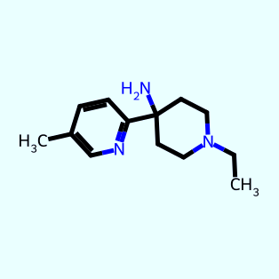 CCN1CCC(N)(c2ccc(C)cn2)CC1